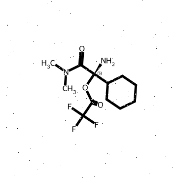 CN(C)C(=O)[C@@](N)(OC(=O)C(F)(F)F)C1CCCCC1